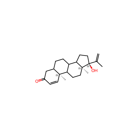 C=C(C)[C@@]1(O)CCC2C3CCC4CC(=O)C=C[C@]4(C)C3CC[C@@]21C